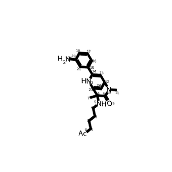 CC(=O)CCCCNC1(C)C(=O)N(C)C2C=C(c3cccc(N)c3)NC1=C2